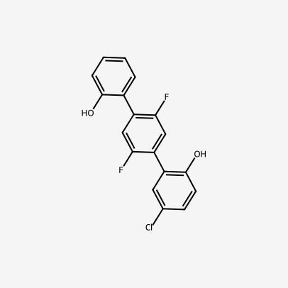 Oc1ccccc1-c1cc(F)c(-c2cc(Cl)ccc2O)cc1F